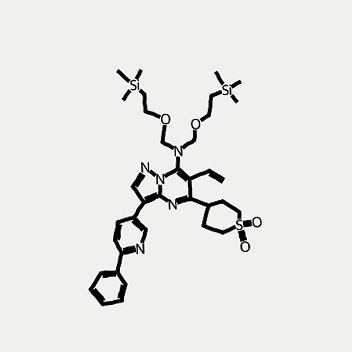 C=Cc1c(C2CCS(=O)(=O)CC2)nc2c(-c3ccc(-c4ccccc4)nc3)cnn2c1N(COCC[Si](C)(C)C)COCC[Si](C)(C)C